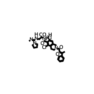 C/N=C(/NC[C@H](NC(=O)c1c(Cl)cc2c(c1Cl)CCN(C(=O)c1oc3ccccc3c1C)C2)C(=O)O)N1CCCC1